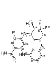 NC(=O)c1cc(F)c(N[C@@H]2CCCC(F)(F)[C@@H]2N)nc1Nc1cccc(Cl)c1